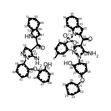 Cc1ccc(S(=O)(=O)n2c(C(=O)c3cnn(-c4ccc(Oc5ccccc5)cc4O)c3N)cc3ccccc32)cc1.Nc1c(C(=O)c2cc3ccccc3[nH]2)cnn1-c1ccccc1Oc1ccccc1O